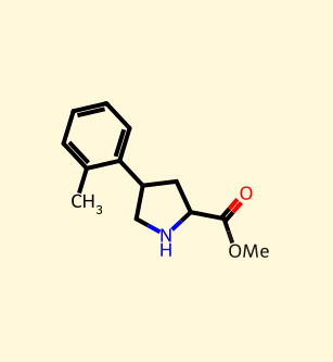 COC(=O)C1CC(c2ccccc2C)CN1